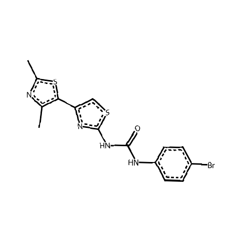 Cc1nc(C)c(-c2csc(NC(=O)Nc3ccc(Br)cc3)n2)s1